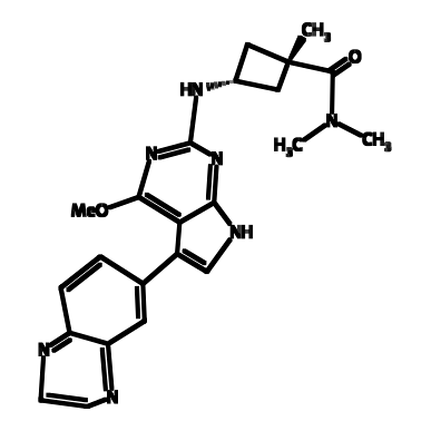 COc1nc(N[C@H]2C[C@@](C)(C(=O)N(C)C)C2)nc2[nH]cc(-c3ccc4nccnc4c3)c12